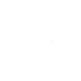 CN(C)CC1CCCc2ccccc2C1=Cc1ccc(Cl)cc1.Cl